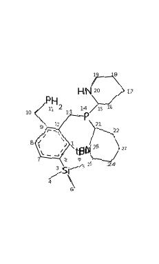 CC(C)(C)c1c([Si](C)(C)C)ccc(CP)c1CP(C1CCCCN1)C1CCCCN1